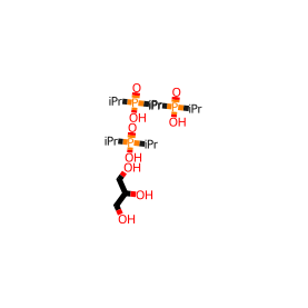 CC(C)P(=O)(O)C(C)C.CC(C)P(=O)(O)C(C)C.CC(C)P(=O)(O)C(C)C.OCC(O)CO